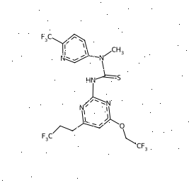 CN(C(=S)Nc1nc(CCC(F)(F)F)cc(OCC(F)(F)F)n1)c1ccc(C(F)(F)F)nc1